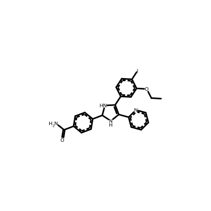 CCOc1cc(C2=C(c3ccccn3)NC(c3ccc(C(N)=O)cc3)N2)ccc1I